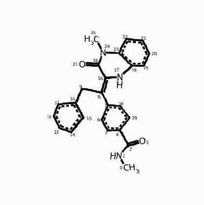 CNC(=O)c1ccc(C(Cc2ccccc2)=C2Nc3ccccc3N(C)C2=O)cc1